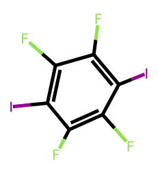 Fc1c(F)c(I)c(F)c(F)c1I